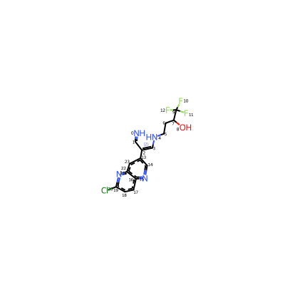 N=C/C(=C\NCCC(O)C(F)(F)F)c1cnc2ccc(Cl)nc2c1